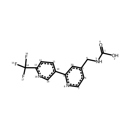 O=C(O)NCc1ccnc(-c2ccc(C(F)(F)F)nc2)c1